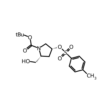 Cc1ccc(S(=O)(=O)O[C@@H]2C[C@H](CO)N(C(=O)OC(C)(C)C)C2)cc1